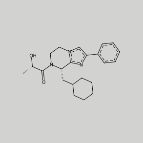 C[C@H](O)C(=O)N1CCn2cc(-c3ccccc3)nc2[C@@H]1CC1CCCCC1